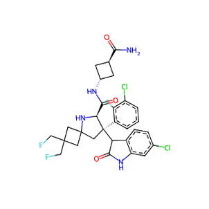 NC(=O)[C@H]1C[C@H](NC(=O)[C@@H]2NC3(CC(CF)(CF)C3)C[C@]2(c2cccc(Cl)c2F)C2C(=O)Nc3cc(Cl)ccc32)C1